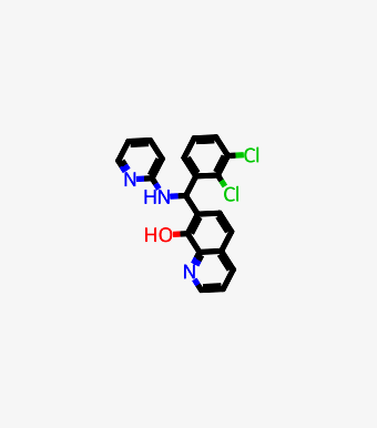 Oc1c(C(Nc2ccccn2)c2cccc(Cl)c2Cl)ccc2cccnc12